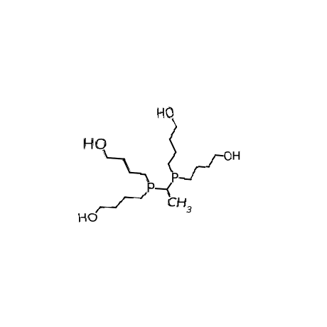 CC(P(CCCCO)CCCCO)P(CCCCO)CCCCO